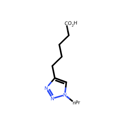 CCCn1cc(CCCCC(=O)O)nn1